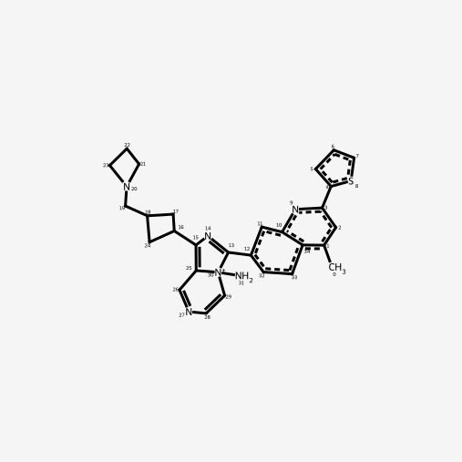 Cc1cc(-c2cccs2)nc2cc(C3=NC(C4CC(CN5CCC5)C4)=C4C=NC=C[N+]34N)ccc12